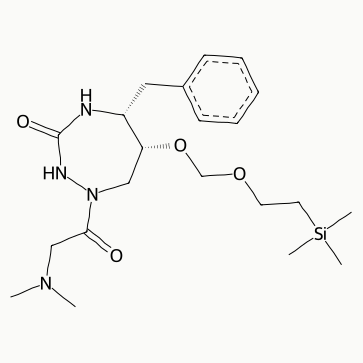 CN(C)CC(=O)N1C[C@@H](OCOCC[Si](C)(C)C)[C@@H](Cc2ccccc2)NC(=O)N1